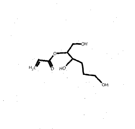 C=CC(=O)OC(CO)C(O)CCCO